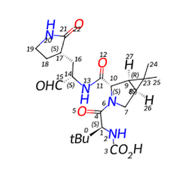 CC(C)(C)[C@H](NC(=O)O)C(=O)N1C[C@H]2[C@@H]([C@H]1C(=O)N[C@H](C=O)C[C@@H]1CCNC1=O)C2(C)C